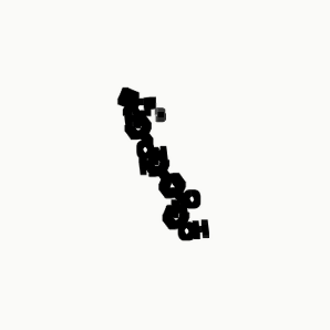 O=C(c1ccc(-c2cnc(OCC3CCN(CC4(C(F)(F)F)CCC4)CC3)nc2)cc1)N1CCC[C@@H](O)C1